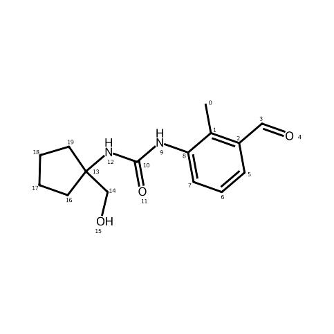 Cc1c(C=O)cccc1NC(=O)NC1(CO)CCCC1